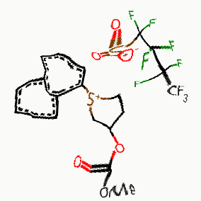 COC(=O)OC1CC[S+](c2cccc3ccccc23)C1.O=S(=O)([O-])C(F)(F)C(F)(F)C(F)(F)C(F)(F)F